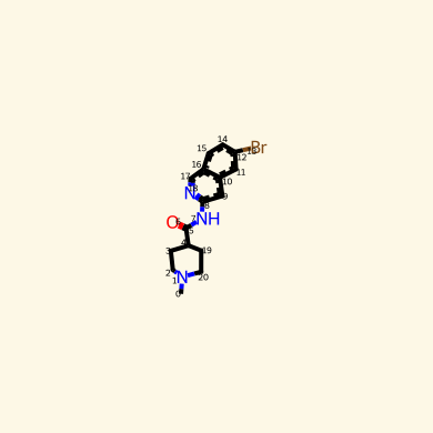 CN1CCC(C(=O)Nc2cc3cc(Br)ccc3cn2)CC1